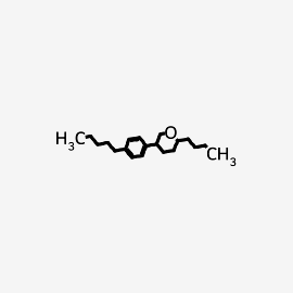 CCCCCc1ccc(C2CCC(CCCC)OC2)cc1